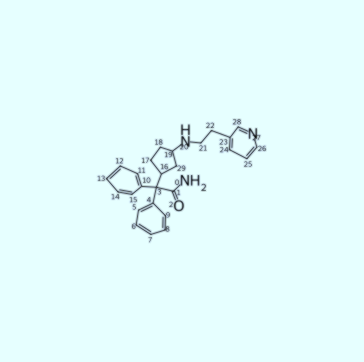 NC(=O)C(c1ccccc1)(c1ccccc1)C1CCC(NCCc2cccnc2)C1